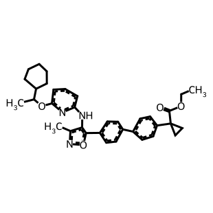 CCOC(=O)C1(c2ccc(-c3ccc(-c4onc(C)c4Nc4cccc(OC(C)C5CCCCC5)n4)cc3)cc2)CC1